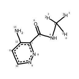 [2H]C([2H])([2H])NC(=O)c1nnccc1N